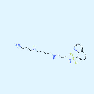 NCCCNCCCCNCCCNS(S)(S)c1cccc2cccnc12